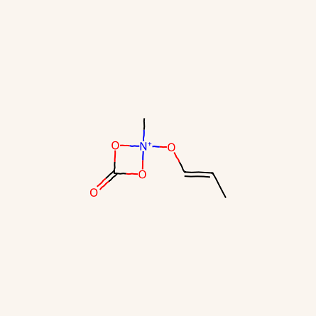 CC=CO[N+]1(C)OC(=O)O1